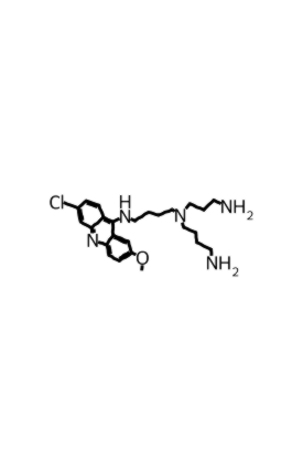 COc1ccc2nc3cc(Cl)ccc3c(NCCCCN(CCCN)CCCCN)c2c1